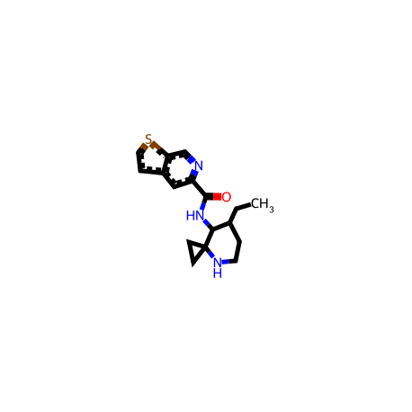 CCC1CCNC2(CC2)C1NC(=O)c1cc2ccsc2cn1